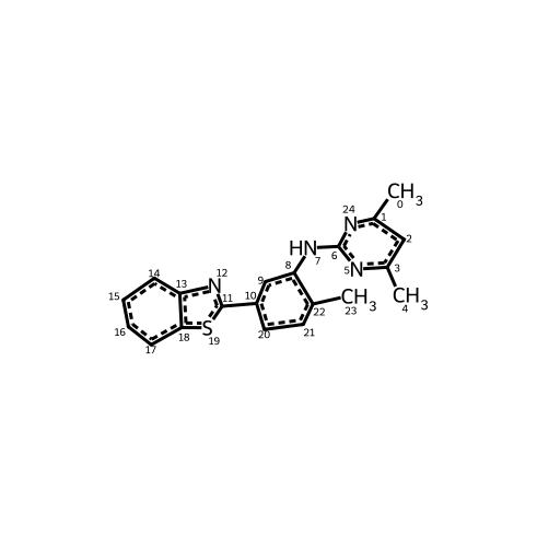 Cc1cc(C)nc(Nc2cc(-c3nc4ccccc4s3)ccc2C)n1